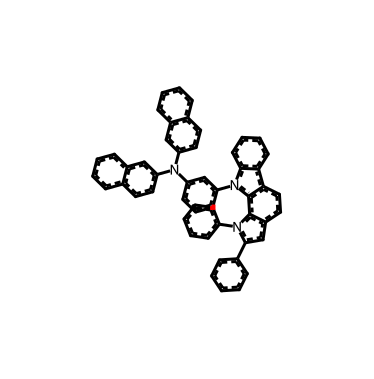 c1ccc(-c2cc3ccc4c5ccccc5n(-c5cccc(N(c6ccc7ccccc7c6)c6ccc7ccccc7c6)c5)c4c3n2-c2ccccc2)cc1